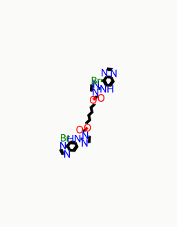 O=C(OCCCCCCOC(=O)N1CCN=C1Nc1ccc2nccnc2c1Br)N1CCN=C1Nc1ccc2nccnc2c1Br